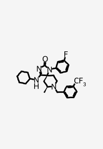 C[C@H]1C[C@@]2(CCN1Cc1cccc(C(F)(F)F)c1)C(NC1CCCCC1)=NC(=O)N2c1cccc(F)c1